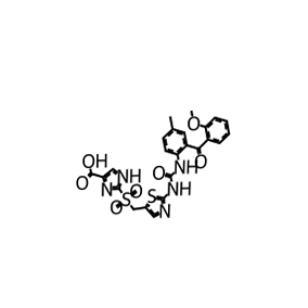 COc1ccccc1C(=O)c1cc(C)ccc1NC(=O)Nc1ncc(CS(=O)(=O)c2nc(C(=O)O)c[nH]2)s1